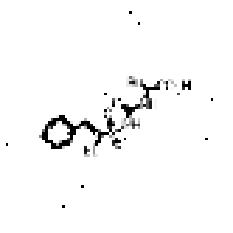 CC/C(=C\c1ccccc1)S(=O)(=O)NC(=O)NC(C(=O)O)C(C)CC